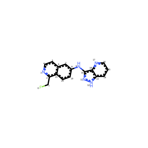 FCc1nccc2cc(Nc3n[nH]c4cccnc34)ccc12